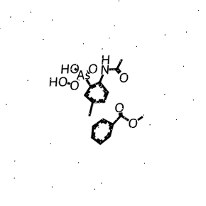 CC(=O)Nc1ccc(C)cc1[As](=O)(O)OO.COC(=O)c1ccccc1